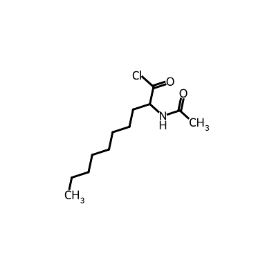 CCCCCCCCC(NC(C)=O)C(=O)Cl